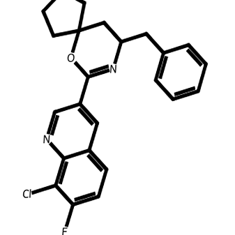 Fc1ccc2cc(C3=NC(Cc4ccccc4)CC4(CCCC4)O3)cnc2c1Cl